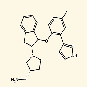 Cc1ccc(OC2c3ccccc3C[C@H]2N2CC[C@H](CN)C2)c(-c2cc[nH]n2)c1